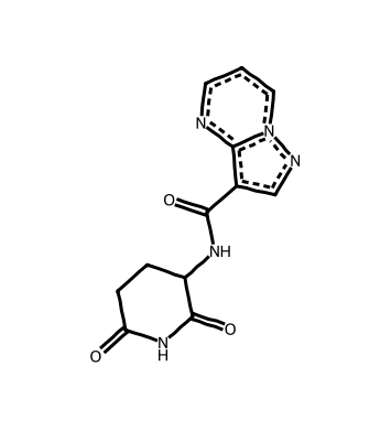 O=C1CCC(NC(=O)c2cnn3cccnc23)C(=O)N1